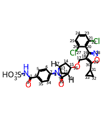 O=C(NS(=O)(=O)O)c1ccc(N2C(=O)[C@@H]3C[C@H]2C[C@H]3OCc2c(-c3c(Cl)cccc3Cl)noc2C2CC2)cc1